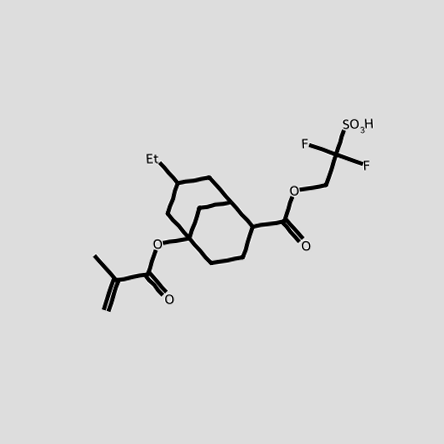 C=C(C)C(=O)OC12CCC(C(=O)OCC(F)(F)S(=O)(=O)O)C(CC(CC)C1)C2